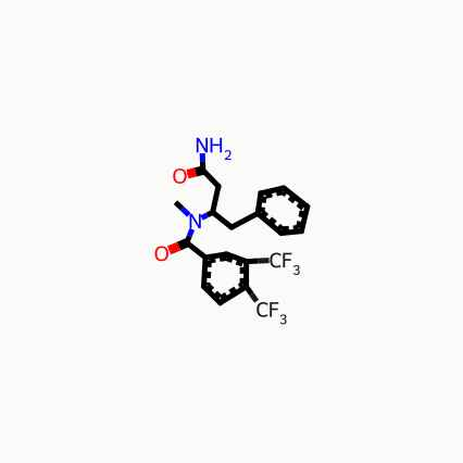 CN(C(=O)c1ccc(C(F)(F)F)c(C(F)(F)F)c1)C(CC(N)=O)Cc1ccccc1